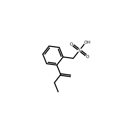 C=C(CC)c1ccccc1CS(=O)(=O)O